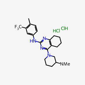 CNC1CCCN(c2nc(Nc3ccc(C)c(C(F)(F)F)c3)nc3c2CCCC3)C1.Cl.Cl